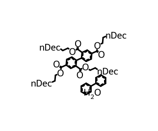 CCCCCCCCCCCCOC(=O)c1ccc(-c2ccc(C(=O)OCCCCCCCCCCCC)cc2C(=O)OCCCCCCCCCCCC)c(C(=O)OCCCCCCCCCCCC)c1.O.c1ccc(-c2ccccc2)cc1